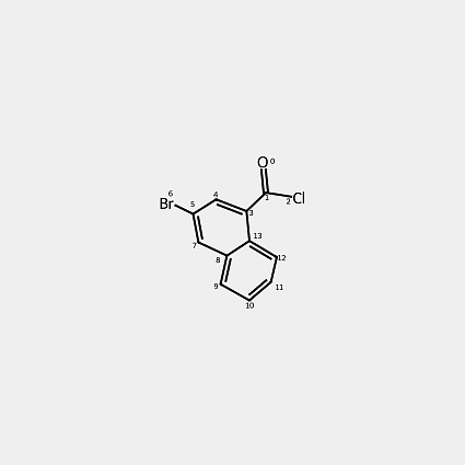 O=C(Cl)c1cc(Br)cc2ccccc12